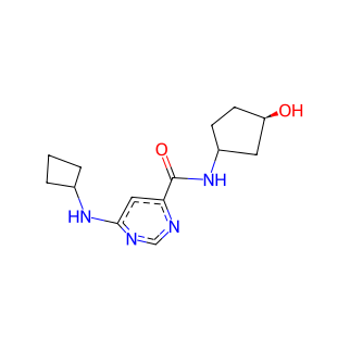 O=C(NC1CC[C@@H](O)C1)c1cc(NC2CCC2)ncn1